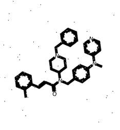 Cc1ccccc1/C=C/C(=O)N(Cc1ccc(N(C)c2ccncc2)cc1)C1CCN(Cc2ccccc2)CC1